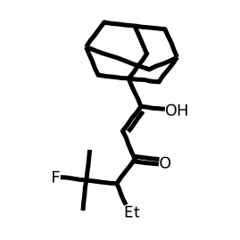 CCC(C(=O)/C=C(\O)C12CC3CC(CC(C3)C1)C2)C(C)(C)F